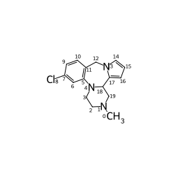 CN1CCN2c3cc(Cl)ccc3Cn3cccc3C2C1